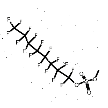 COS(=O)(=O)OC(F)(F)C(F)(F)C(F)(F)C(F)(F)C(F)(F)C(F)(F)C(F)(F)C(F)(F)F